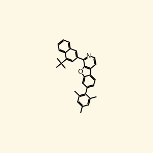 Cc1cc(C)c(-c2ccc3c(c2)oc2c(-c4cc(C(C)(C)C)c5ccccc5c4)nccc23)c(C)c1